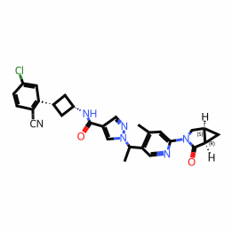 Cc1cc(N2C[C@H]3C[C@H]3C2=O)ncc1C(C)n1cc(C(=O)N[C@H]2C[C@@H](c3cc(Cl)ccc3C#N)C2)cn1